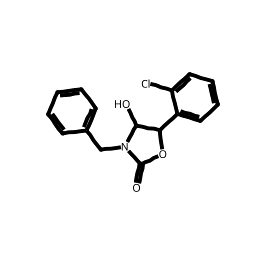 O=C1OC(c2ccccc2Cl)C(O)N1Cc1ccccc1